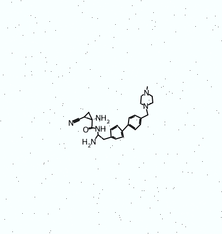 CN1CCN(Cc2ccc(-c3ccc(CC(N)NC(=O)[C@]4(N)CC4C#N)cc3)cc2)CC1